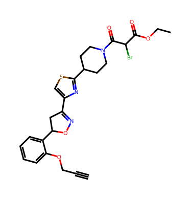 C#CCOc1ccccc1C1CC(c2csc(C3CCN(C(=O)C(Br)C(=O)OCC)CC3)n2)=NO1